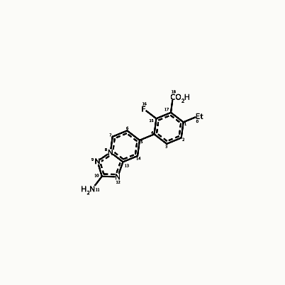 CCc1ccc(-c2ccn3nc(N)nc3c2)c(F)c1C(=O)O